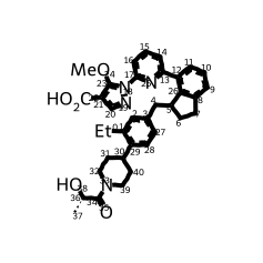 CCc1cc(CC2CCc3cccc(-c4cccc(-n5ncc(C(=O)O)c5OC)n4)c32)ccc1C1CCN(C(=O)[C@H](C)O)CC1